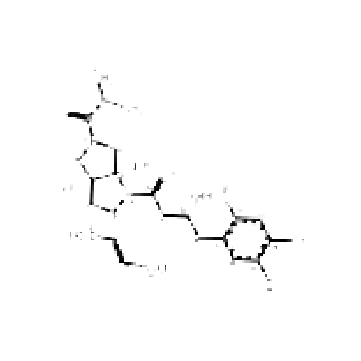 CN(C)C(=O)N1C[C@@H]2CCN(C(=O)C[C@H](N)Cc3cc(F)c(F)cc3F)[C@@H]2C1.O=C(O)C=CC(=O)O